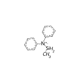 C[SiH2][N+](c1ccccc1)c1ccccc1